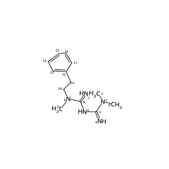 CN(C)C(=N)NC(=N)N(C)CCc1ccccc1